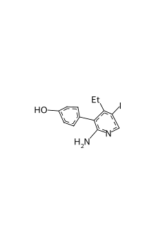 CCc1c(I)cnc(N)c1-c1ccc(O)cc1